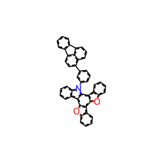 c1cc(-c2ccc3c4c(cccc24)-c2ccccc2-3)cc(-n2c3ccccc3c3c4oc5ccccc5c4c4oc5ccccc5c4c32)c1